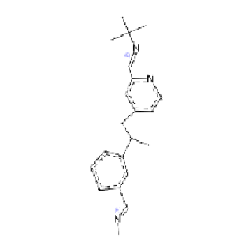 C/N=C/c1cccc(C(C)Cc2ccnc(/C=N/C(C)(C)C)c2)c1